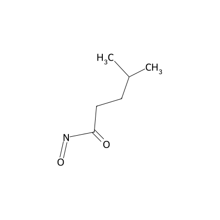 CC(C)CCC(=O)N=O